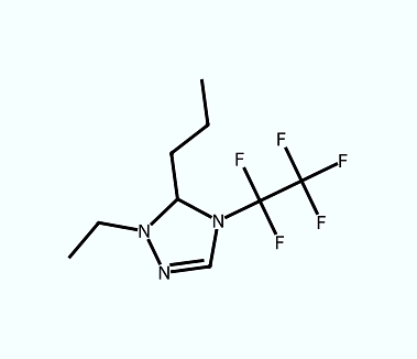 CCCC1N(CC)N=CN1C(F)(F)C(F)(F)F